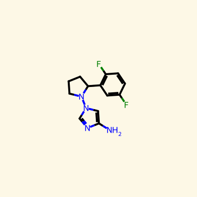 Nc1cn(N2CCCC2c2cc(F)ccc2F)cn1